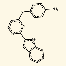 Nc1ccc(Sc2ccnc(-c3cc4ccccc4[nH]3)n2)cc1